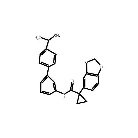 CC(C)c1ccc(-c2cccc(NC(=O)C3(c4ccc5c(c4)OCO5)CC3)c2)cc1